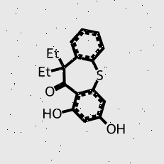 CCC1(CC)C(=O)c2c(O)cc(O)cc2Sc2ccccc21